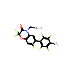 O=C(O)CN1C(=O)C(F)(F)Oc2cc(F)c(-c3c(F)c(F)c(C(F)(F)F)c(F)c3F)cc21